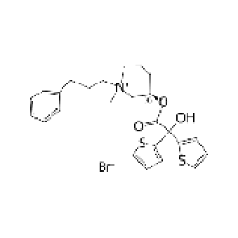 C[N+]1(CCCc2ccccc2)CCC[C@@H](OC(=O)C(O)(c2cccs2)c2cccs2)C1.[Br-]